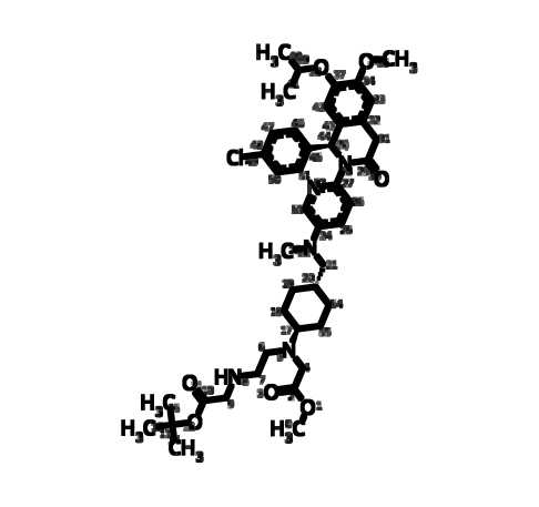 COC(=O)CN(CCNCC(=O)OC(C)(C)C)[C@H]1CC[C@H](CN(C)c2ccc(N3C(=O)Cc4cc(OC)c(OC(C)C)cc4[C@@H]3c3ccc(Cl)cc3)nc2)CC1